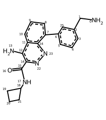 NCc1cccc(-c2cccc3c(N)c(C(=O)NC4CCC4)nnc23)c1